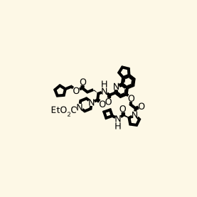 CCOC(=O)N1CCN(C(=O)[C@H](CCC(=O)OCC2CCCC2)NC(=O)c2cc(OCC(=O)N3CCC[C@H]3C(=O)NC3CCC3)c3ccc4c(c3n2)CCC4)CC1